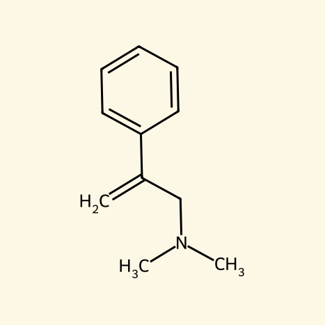 C=C(CN(C)C)c1ccccc1